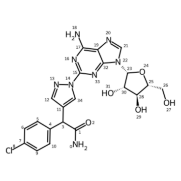 NC(=O)C(c1ccc(Cl)cc1)c1cnn(-c2nc(N)c3ncn([C@@H]4O[C@H](CO)[C@@H](O)[C@@H]4O)c3n2)c1